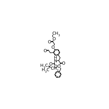 CCOC(=O)COc1ccc(CC(NC(=O)OC(C)(C)C)C(=O)OCc2ccccc2)cc1CC=O